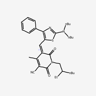 CCCCC(CC)CN1C(=O)C(C#N)=C(C)/C(=C/c2sc(N(CCCC)CCCC)nc2-c2ccccc2)C1=O